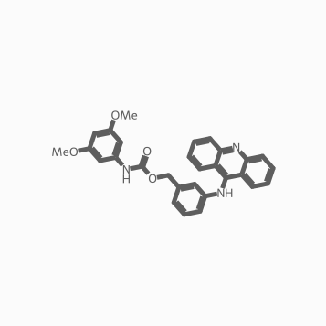 COc1cc(NC(=O)OCc2cccc(Nc3c4ccccc4nc4ccccc34)c2)cc(OC)c1